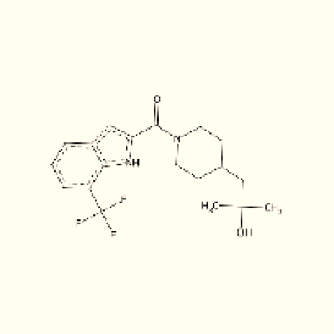 CC(C)(O)CC1CCN(C(=O)c2cc3cccc(C(F)(F)F)c3[nH]2)CC1